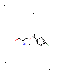 C[C@H](OCC(N)CO)c1ccc(F)cc1